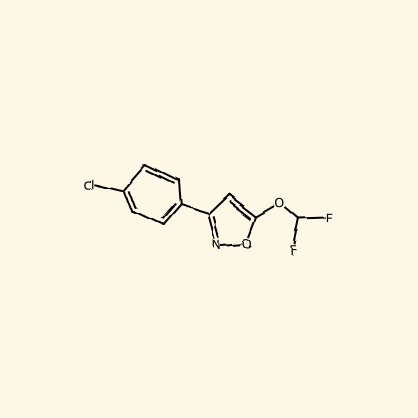 FC(F)Oc1cc(-c2ccc(Cl)cc2)no1